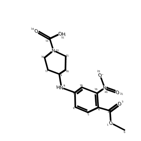 COC(=O)c1ccc(NC2CCN(C(=O)O)CC2)cc1[N+](=O)[O-]